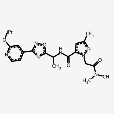 CC(C)Oc1cc(-c2noc([C@H](C)NC(=O)c3cc(C(F)(F)F)nn3CC(=O)N(C)C)n2)ccn1